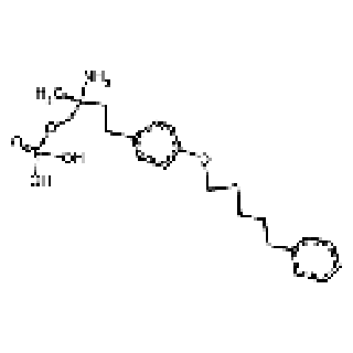 C[C@@](N)(CCc1ccc(OCCCCCc2ccccc2)cc1)COP(=O)(O)O